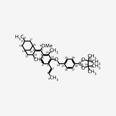 C/C=C/c1ccc(/C(OC)=C2\C(C)CC3CC(C)CC2C3)c(C)c1OCc1ccc(B2OC(C)(C)C(C)(C)O2)cc1